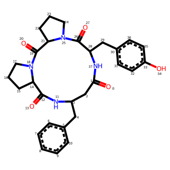 O=C1CC(Cc2ccccc2)NC(=O)C2CCCN2C(=O)C2CCCN2C(=O)C(Cc2ccc(O)cc2)N1